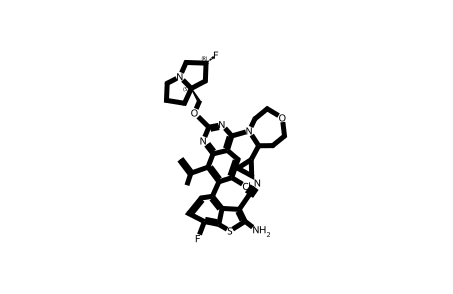 C=C(C)c1c(-c2ccc(F)c3sc(N)c(C#N)c23)c(Cl)cc2c(N3CCOCCC3C3CC3)nc(OC[C@@]34CCCN3C[C@H](F)C4)nc12